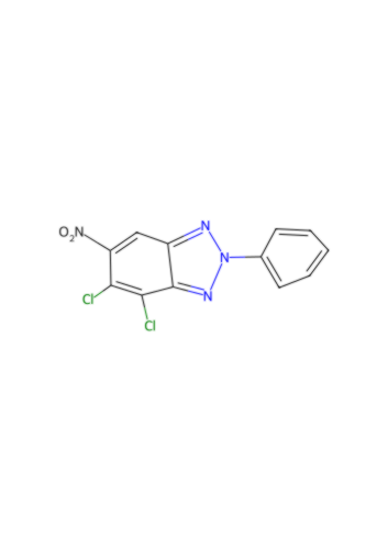 O=[N+]([O-])c1cc2nn(-c3ccccc3)nc2c(Cl)c1Cl